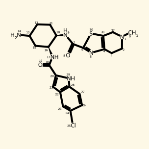 CN1CCc2nc(C(=O)N[C@@H]3CCC(N)C[C@@H]3NC(=O)c3cc4cc(Cl)ccc4[nH]3)sc2C1